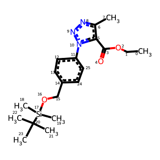 CCOC(=O)c1c(C)nnn1-c1ccc(CO[Si](C)(C)C(C)(C)C)cc1